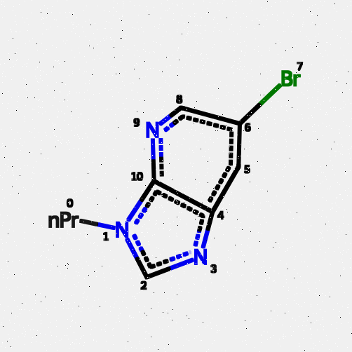 CCCn1cnc2cc(Br)cnc21